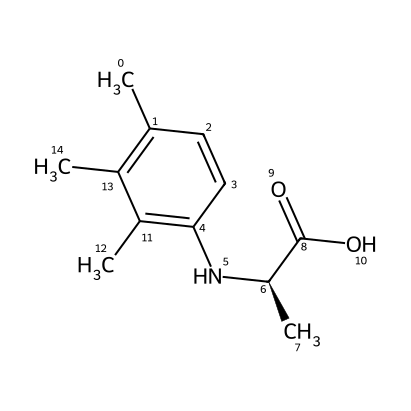 Cc1ccc(N[C@H](C)C(=O)O)c(C)c1C